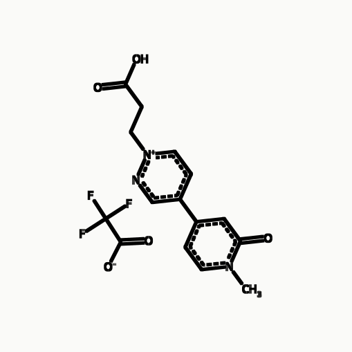 Cn1ccc(-c2cc[n+](CCC(=O)O)nc2)cc1=O.O=C([O-])C(F)(F)F